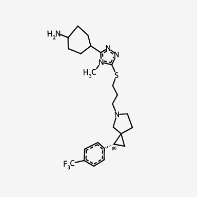 Cn1c(SCCCN2CCC3(C[C@@H]3c3ccc(C(F)(F)F)cc3)C2)nnc1C1CCC(N)CC1